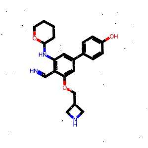 N=Cc1c(NC2CCCCO2)cc(-c2ccc(O)cc2)cc1OCC1CNC1